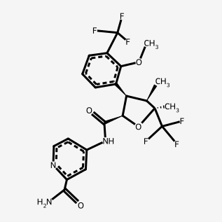 COc1c([C@H]2[C@@H](C)[C@@](C)(C(F)(F)F)O[C@H]2C(=O)Nc2ccnc(C(N)=O)c2)cccc1C(F)(F)F